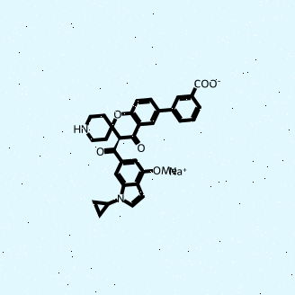 COc1cc(C(=O)[C@@H]2C(=O)c3cc(-c4cccc(C(=O)[O-])c4)ccc3OC23CCNCC3)cc2c1ccn2C1CC1.[Na+]